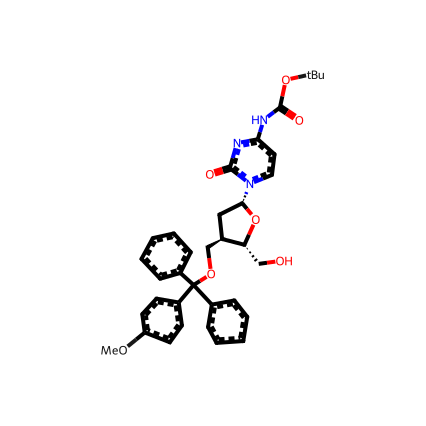 COc1ccc(C(OC[C@H]2C[C@H](n3ccc(NC(=O)OC(C)(C)C)nc3=O)O[C@@H]2CO)(c2ccccc2)c2ccccc2)cc1